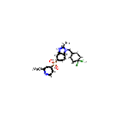 COc1cc(S(=O)(=O)c2ccc3c(c2)nc(C(C)(C)C)n3CC2CCC(F)(F)CC2)ccn1